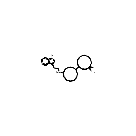 CC1(N)CCCCCCCC(C2CCCCCCC(NCCc3c[nH]c4ccncc34)CCC2)CC1